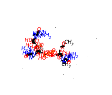 COCCOC[C@@H]1[C@@H](COP(=O)(O)OP(=O)(O)OP(=O)(O)OC[C@H]2O[C@@H](n3cnc4c(=O)[nH]c(N)nc43)[C@H](OC)[C@@H]2OP(=O)(O)OC[C@H]2O[C@@H](n3cnc4c(=O)[nH]c(N)nc43)[C@H](O)[C@@H]2O)OC(n2c[n+](C)c3c(=O)[nH]c(N)nc32)[C@@H]1O